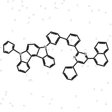 c1ccc(-c2cc(-c3cccc4ccccc34)nc(-c3cccc(-c4cccc(-n5c6ccccc6c6c7c8ccccc8n(-c8ccccc8)c7ccc65)c4)c3)n2)cc1